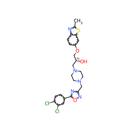 Cc1nc2ccc(OC[C@@H](O)CN3CCN(Cc4noc(-c5ccc(Cl)c(Cl)c5)n4)CC3)cc2s1